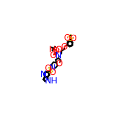 CC(C)(C)OC(=O)N(C[C@H](O)COc1cccc(S(C)(=O)=O)c1)[C@H]1COC2(CCN(S(=O)(=O)c3cnc4cc[nH]c4c3)CC2)C1